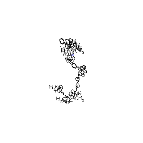 CNC([C@H](/C=C(\C)C(=O)NS(=O)(=O)Cc1ccc(NC(COCCOCCOCCC(=O)N[C@H](C(=O)N[C@@H](C)CCCNC(N)=O)C(C)C)N2C(=O)C=CC2=O)cc1)C(C)C)[C@H](C(N)[C@@H](NC)C(C)(C)c1ccccc1)C(C)(C)C